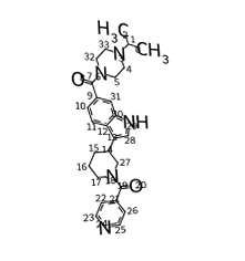 CC(C)N1CCN(C(=O)c2ccc3c(C4CCCN(C(=O)c5ccncc5)C4)c[nH]c3c2)CC1